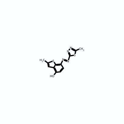 Cc1cc2c(O)ccc(/N=N/c3nnc(C)s3)c2s1